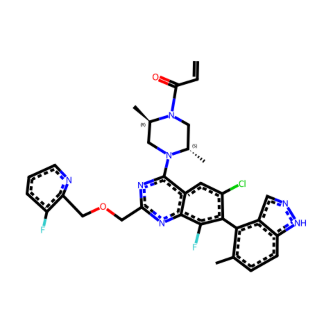 C=CC(=O)N1C[C@H](C)N(c2nc(COCc3ncccc3F)nc3c(F)c(-c4c(C)ccc5[nH]ncc45)c(Cl)cc23)C[C@H]1C